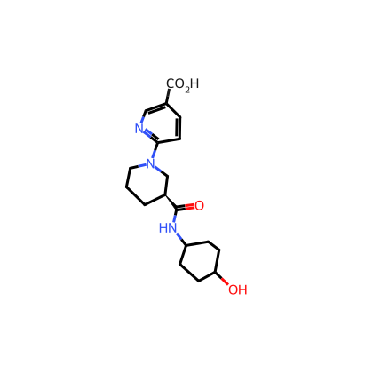 O=C(O)c1ccc(N2CCC[C@H](C(=O)NC3CCC(O)CC3)C2)nc1